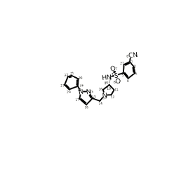 N#Cc1cccc(S(=O)(=O)N[C@@H]2CCN(Cc3ccn(-c4ccccc4)n3)C2)c1